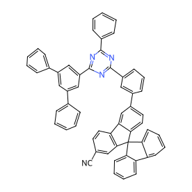 N#Cc1ccc2c(c1)C1(c3ccccc3-c3ccccc31)c1ccc(-c3cccc(-c4nc(-c5ccccc5)nc(-c5cc(-c6ccccc6)cc(-c6ccccc6)c5)n4)c3)cc1-2